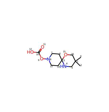 CC1(C)CNC2(CCN(OC(=O)O)CC2)OC1